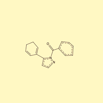 O=C(c1ccccc1)n1nccc1C1=CCCC=C1